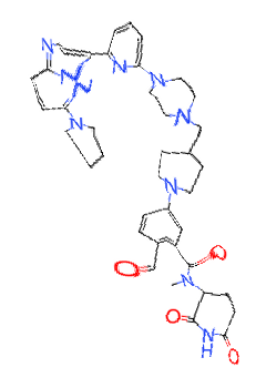 CN(C(=O)c1cc(N2CCC(CN3CCN(c4cccc(-c5cnc6ccc(N7CCCC7)nn56)n4)CC3)CC2)ccc1C=O)C1CCC(=O)NC1=O